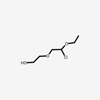 CCOC(Cl)COCCO